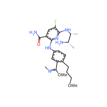 C/N=C(/OC)c1cc(Nc2nc(N[C@H](C)[C@H](C)N)c(F)cc2C(N)=O)ccc1CCCOC